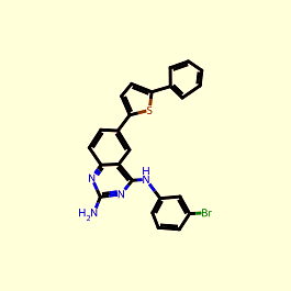 Nc1nc(Nc2cccc(Br)c2)c2cc(-c3ccc(-c4ccccc4)s3)ccc2n1